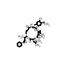 COc1ccc(C[C@H]2NC(=O)/C=C/C[C@@H]([C@H](C)[C@H]3O[C@@H]3c3ccccc3)OC(=O)[C@H](CC(C)C)NC(=O)C(C)(C)C3(CC3)NC2=O)cc1Cl